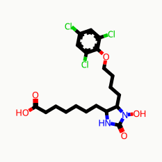 O=C(O)CCCCCCC1NC(=O)N(O)C1CCCCOc1c(Cl)cc(Cl)cc1Cl